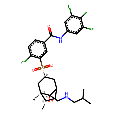 CC(C)CNC[C@@]1(O)C2C[C@@H](S(=O)(=O)c3cc(C(=O)Nc4cc(F)c(F)c(F)c4)ccc3Cl)C[C@@H]1[C@@H](C)C2